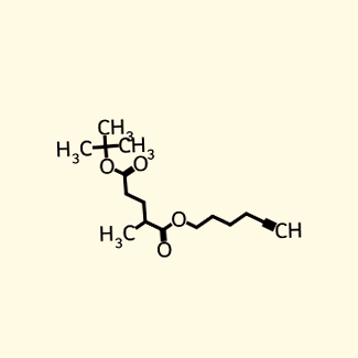 C#CCCCCOC(=O)C(C)CCC(=O)OC(C)(C)C